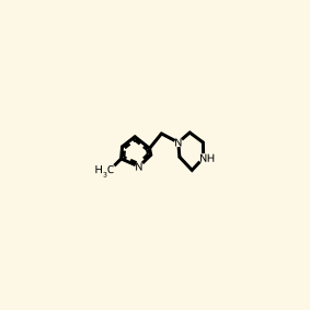 Cc1ccc(CN2CCNCC2)cn1